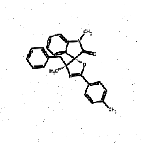 Cc1ccc(C2=N[C@@](C)(Cc3ccccc3)[C@]3(O2)C(=O)N(C)c2ccccc23)cc1